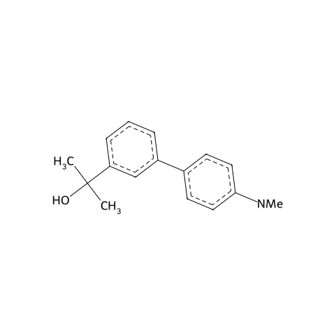 CNc1ccc(-c2cccc(C(C)(C)O)c2)cc1